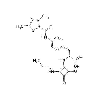 CCCNc1c(N[C@@H](Cc2ccc(NC(=O)c3sc(C)nc3C)cc2)C(=O)O)c(=O)c1=O